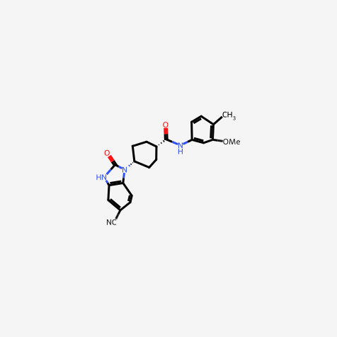 COc1cc(NC(=O)[C@H]2CC[C@@H](n3c(=O)[nH]c4cc(C#N)ccc43)CC2)ccc1C